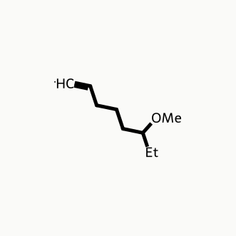 [CH]=CCCCC(CC)OC